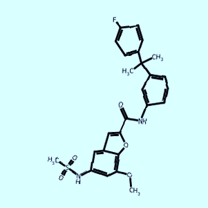 COc1cc(NS(C)(=O)=O)cc2cc(C(=O)Nc3cccc(C(C)(C)c4ccc(F)cc4)c3)oc12